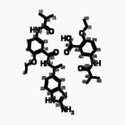 CCOc1ccc(NC(=O)C(C)C)cc1C(=O)NC(C)c1ccc2[nH]c(N)nc2c1.CCOc1ccc(NC(=O)C(C)C)cc1C(=O)O